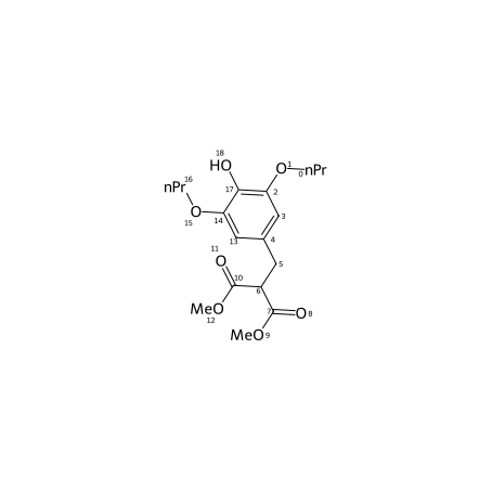 CCCOc1cc(CC(C(=O)OC)C(=O)OC)cc(OCCC)c1O